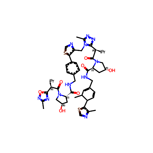 Cc1noc([C@H](C(=O)N2C[C@H](O)C[C@H]2C(=O)NCc2ccc(-c3scnc3Cn3c(C)nnc3[C@H](C(=O)N3C[C@H](O)C[C@H]3C(=O)NCC3=CC(C)C(c4scnc4C)C=C3)C(C)C)cc2)C(C)C)n1